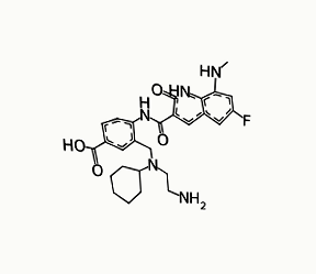 CNc1cc(F)cc2cc(C(=O)Nc3ccc(C(=O)O)cc3CN(CCN)C3CCCCC3)c(=O)[nH]c12